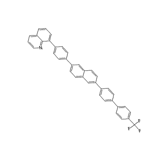 FC(F)(F)c1ccc(-c2ccc(-c3ccc4cc(-c5ccc(-c6cccc7cccnc67)cc5)ccc4c3)cc2)cc1